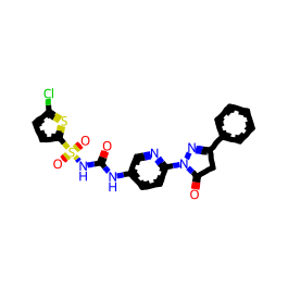 O=C(Nc1ccc(N2N=C(c3ccccc3)CC2=O)nc1)NS(=O)(=O)c1ccc(Cl)s1